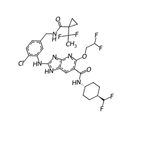 CC(F)(F)C1(C(=O)NCc2ccc(Cl)c(Nc3nc4nc(OCC(F)F)c(C(=O)N[C@H]5CC[C@H](C(F)F)CC5)cc4[nH]3)c2)CC1